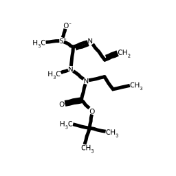 C=C/N=C(\N(C)N(CCC)C(=O)OC(C)(C)C)[S+](C)[O-]